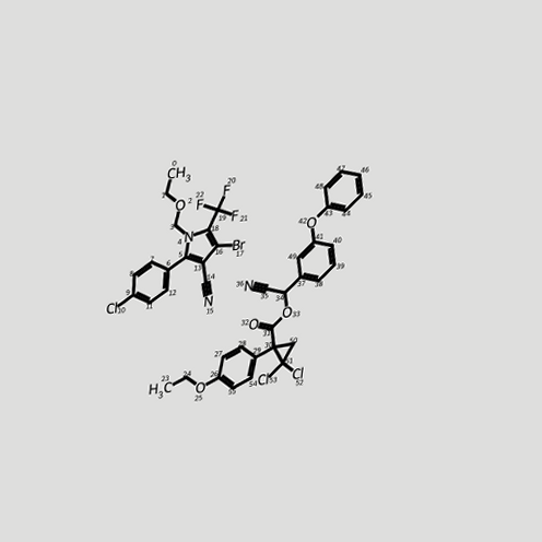 CCOCn1c(-c2ccc(Cl)cc2)c(C#N)c(Br)c1C(F)(F)F.CCOc1ccc(C2(C(=O)OC(C#N)c3cccc(Oc4ccccc4)c3)CC2(Cl)Cl)cc1